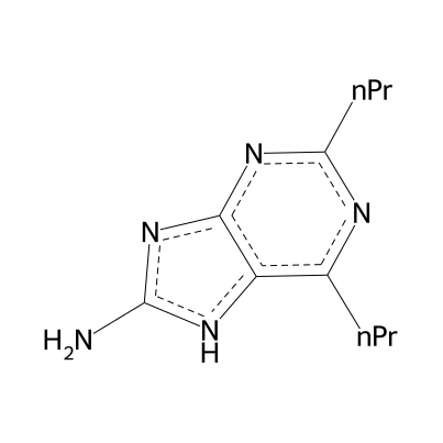 CCCc1nc(CCC)c2[nH]c(N)nc2n1